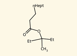 CCCCCCCCCC(=O)OC(C)(CC)CC